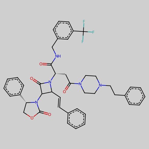 O=C(NCc1cccc(C(F)(F)F)c1)[C@H](CC(=O)N1CCN(CCc2ccccc2)CC1)N1C(=O)C(N2C(=O)OC[C@@H]2c2ccccc2)C1C=Cc1ccccc1